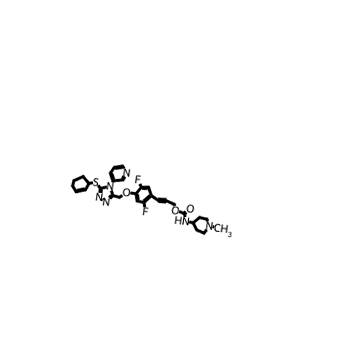 CN1CCC(NC(=O)OCC#Cc2cc(F)c(OCc3nnc(SC4C=CCCC4)n3-c3cccnc3)cc2F)CC1